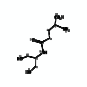 NC(CCC(=O)NC(CO)CO)C(=O)O